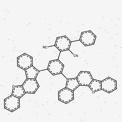 N#Cc1ccc(-c2ccccc2)c(C#N)c1-c1cc(-n2c3ccccc3c3c4oc5ccccc5c4ccc32)cc(-n2c3ccccc3c3c4oc5ccccc5c4ccc32)c1